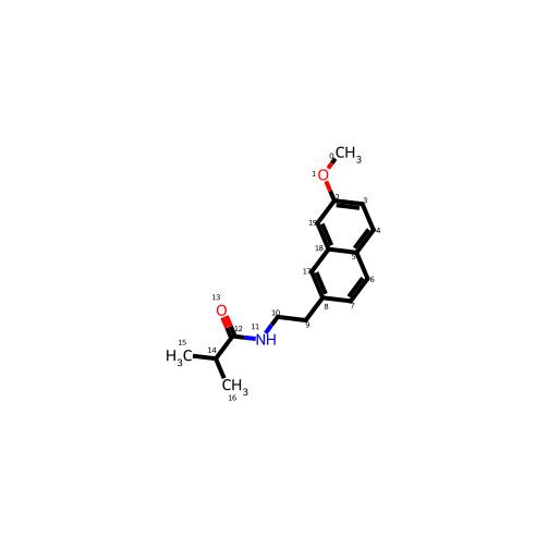 COc1ccc2ccc(CCNC(=O)C(C)C)cc2c1